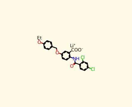 CCOc1ccc(COc2ccc(NC(=O)c3ccc(Cl)cc3Cl)c(C(=O)[O-])c2)cc1.[Li+]